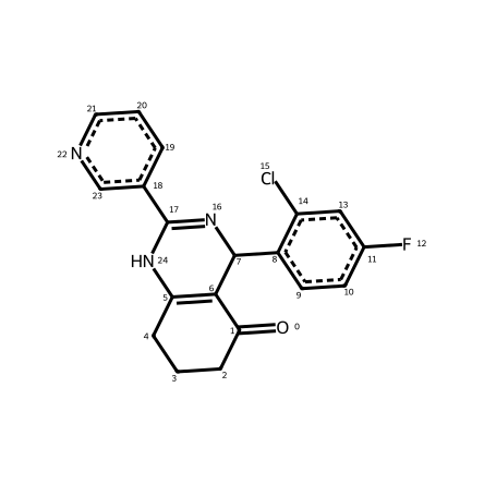 O=C1CCCC2=C1C(c1ccc(F)cc1Cl)N=C(c1cccnc1)N2